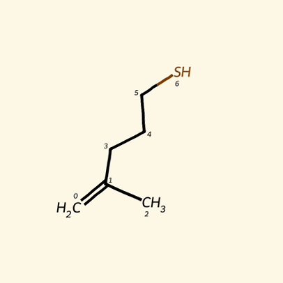 C=C(C)CCCS